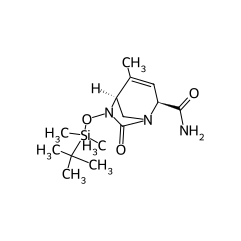 CC1=C[C@@H](C(N)=O)N2C[C@H]1N(O[Si](C)(C)C(C)(C)C)C2=O